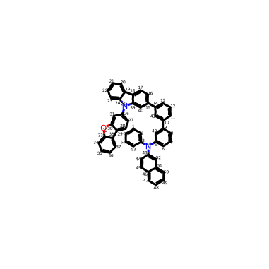 c1ccc(N(c2cccc(-c3cccc(-c4ccc5c6ccccc6n(-c6ccc7c(c6)oc6ccccc67)c5c4)c3)c2)c2ccc3ccccc3c2)cc1